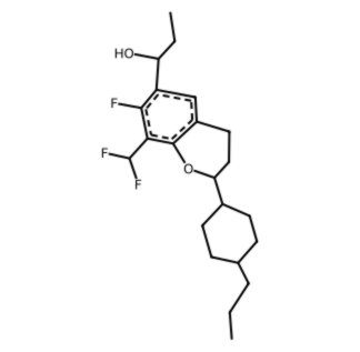 CCCC1CCC(C2CCc3cc(C(O)CC)c(F)c(C(F)F)c3O2)CC1